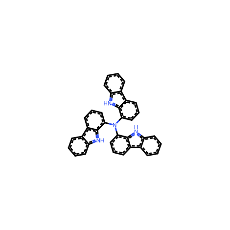 c1ccc2c(c1)[nH]c1c(N(c3cccc4c3[nH]c3ccccc34)c3cccc4c3[nH]c3ccccc34)cccc12